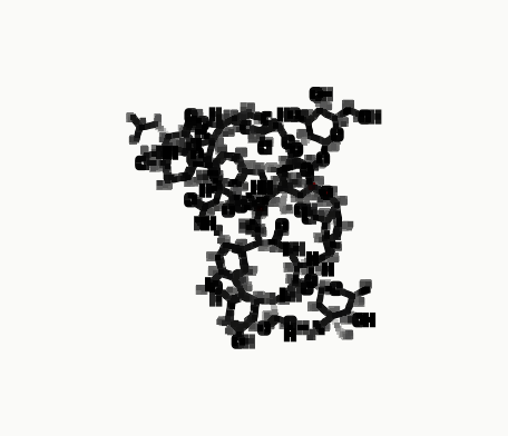 CN[C@H](CC(C)C)C(=O)N[C@H]1C(=O)N[C@@H](CC(N)=O)C(=O)N[C@H]2C(=O)N[C@H]3C(=O)N[C@H](C(=O)N[C@H](C(=O)O)c4cc(O)cc(O)c4-c4cc3ccc4I)[C@H](O[C@H]3C[C@](C)(N)[C@@H](O)[C@H](C)O3)c3ccc(c(Cl)c3)Oc3cc2cc(c3O[C@@H]2O[C@H](CO)[C@@H](O)[C@H](O)[C@H]2O[C@H]2C[C@](C)(NCc3ccc(-c4ccc(Cl)cc4)cc3)[C@@H](O)[C@H](C)O2)Oc2ccc(cc2Cl)[C@H]1O